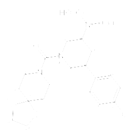 CC(C)(C)N(C(=O)O)C1CC(c2ccc(C(F)(F)F)cc2)CN(C(=O)N2CCC3(CC2)OCCO3)C1